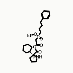 CCOP(=O)(CCCCc1ccccc1)CC(=O)OC(=O)[C@]1(C2CCCCC2)CCCN1